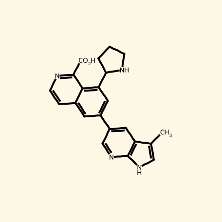 Cc1c[nH]c2ncc(-c3cc(C4CCCN4)c4c(C(=O)O)nccc4c3)cc12